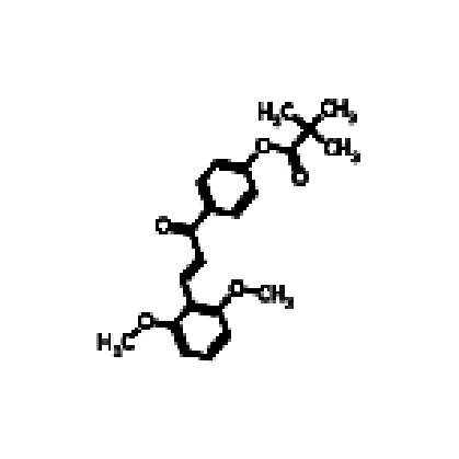 COc1cccc(OC)c1C=CC(=O)c1ccc(OC(=O)C(C)(C)C)cc1